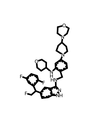 FCC(c1ccc2[nH]nc(NCc3ccc(N4CCC(N5CCOCC5)CC4)cc3NC3CCOCC3)c2c1)c1cc(F)ccc1F